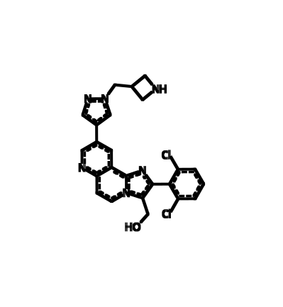 OCc1c(-c2c(Cl)cccc2Cl)nc2c3cc(-c4cnn(CC5CNC5)c4)cnc3ccn12